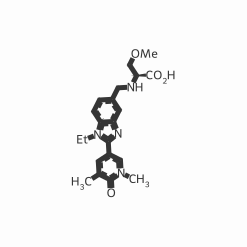 CCn1c(-c2cc(C)c(=O)n(C)c2)nc2cc(CN[C@@H](COC)C(=O)O)ccc21